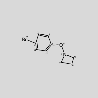 Brc1ccc(ON2CCC2)cc1